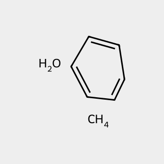 C.O.c1ccccc1